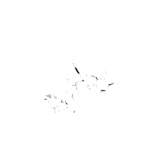 C[C@H](OP(=O)(O)OP(=O)(O)OP(=O)(O)O)[C@H]1O[C@@H](n2ncc(=O)[nH]c2=O)C(N)(C#CCl)[C@H]1O